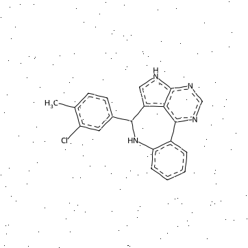 Cc1ccc(C2Nc3ccccc3-c3ncnc4[nH]cc2c34)cc1Cl